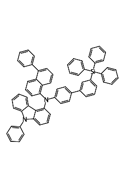 c1ccc(-c2cccc3c(N(c4ccc(-c5cccc([Si](c6ccccc6)(c6ccccc6)c6ccccc6)c5)cc4)c4cccc5c4c4ccccc4n5-c4ccccc4)cccc23)cc1